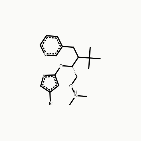 C[SiH](C)OC[C@H](Oc1cc(Br)cs1)C(Cc1cccnc1)C(C)(C)C